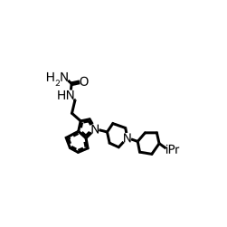 CC(C)C1CCC(N2CCC(n3cc(CCNC(N)=O)c4ccccc43)CC2)CC1